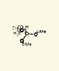 CCC(Oc1ccc(Sc2cc(C#Cc3cccc(OC)c3)cc(C#Cc3cccc(OC)c3)c2)cc1C)C(=O)O